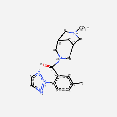 Cc1ccc(-n2nccn2)c(C(=O)N2CC3CC(CN(C(=O)O)C3)C2)c1